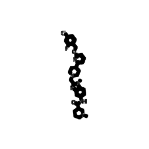 CN1CCCC(C(=O)Nc2ccc3c(c2)nc(CN2CCC(c4cccc(OCc5ccc(Cl)cc5F)n4)CC2)n3C)C1